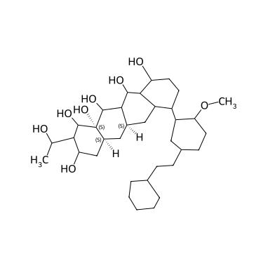 COC1CCC(CCC2CCCCC2)CC1C1CCC(O)C2C(O)C3C(O)[C@]4(O)C(O)C(C(C)O)C(O)C[C@@H]4C[C@@H]3CC12